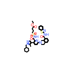 CCOC(=O)CCCS(=O)(=O)NC(=O)c1nc(N2CCc3cccc(C(=O)Nc4nc5ccccc5s4)c3C2)ccc1-c1cnn(CC2CCCCC2)c1C